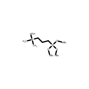 CCCCCCCC[N+](C)(C)CCC[Si](OCCCC)(OCCCC)OCCCC